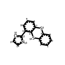 c1ccc2c(c1)Sc1cccc(-c3ncco3)c1S2